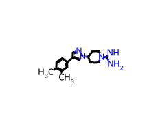 Cc1ccc(-c2cnn(C3CCN(C(=N)N)CC3)c2)cc1C